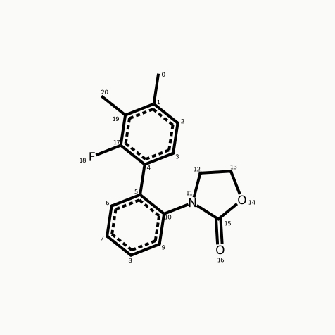 Cc1ccc(-c2ccccc2N2CCOC2=O)c(F)c1C